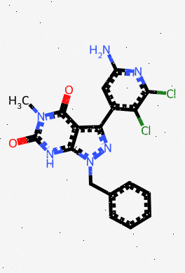 Cn1c(=O)[nH]c2c(c(-c3cc(N)nc(Cl)c3Cl)nn2Cc2ccccc2)c1=O